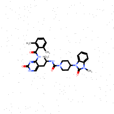 Cc1cccc(C)c1C(=O)Nc1nc(=O)[nH]cc1CC(NC(=O)N1CCC(n2c(=O)n(C)c3ccccc32)CC1)C(=O)O